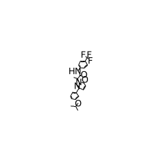 CC(C)Oc1cccc(-c2ccc(=O)n(C(C)C(=O)Nc3ccc(C(F)(F)F)cc3)n2)c1